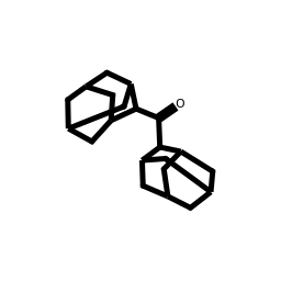 O=C(C1C2CC3CC(C2)CC1C3)C1C2CC3CC(C2)CC1C3